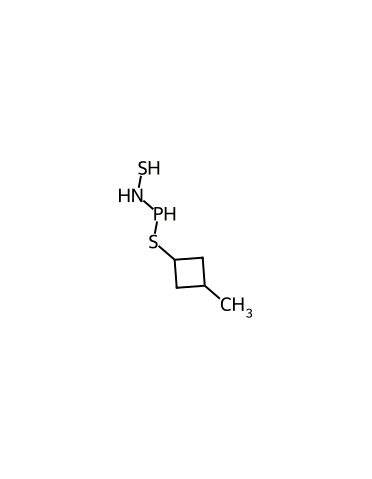 CC1CC(SPNS)C1